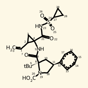 C=CC1CC1(NC(=O)[C@@]1(C(C)(C)C)C[C@@H](c2ccccc2)CN1C(=O)O)C(=O)NS(=O)(=O)C1CC1